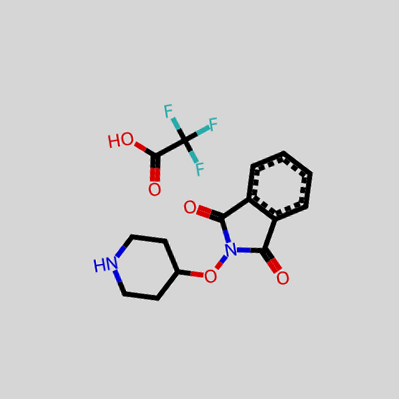 O=C(O)C(F)(F)F.O=C1c2ccccc2C(=O)N1OC1CCNCC1